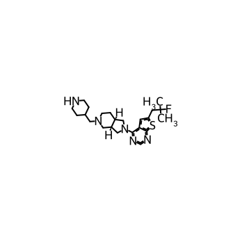 CC(C)(F)Cc1cc2c(N3C[C@H]4CCN(CC5CCNCC5)C[C@H]4C3)ncnc2s1